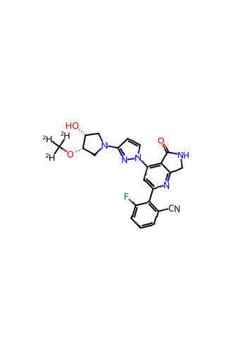 [2H]C([2H])([2H])O[C@H]1CN(c2ccn(-c3cc(-c4c(F)cccc4C#N)nc4c3C(=O)NC4)n2)C[C@H]1O